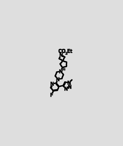 CCOC(=O)N1CC2(CC[C@@H](N3CCN(c4ncc(F)cc4-c4cn(C)nn4)CC3)C2)C1